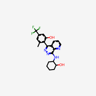 Cc1cc(C(F)(F)F)cc(O)c1-c1nnc(NC2CCCCC2O)c2ncccc12